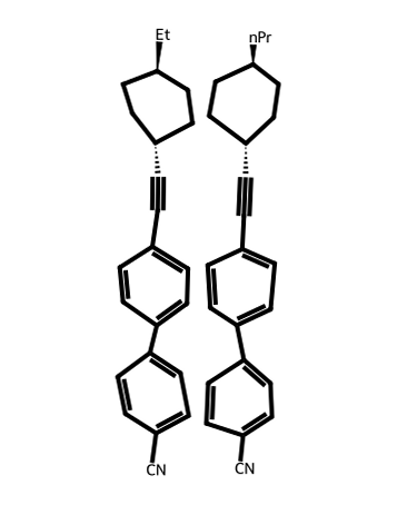 CCC[C@H]1CC[C@H](C#Cc2ccc(-c3ccc(C#N)cc3)cc2)CC1.CC[C@H]1CC[C@H](C#Cc2ccc(-c3ccc(C#N)cc3)cc2)CC1